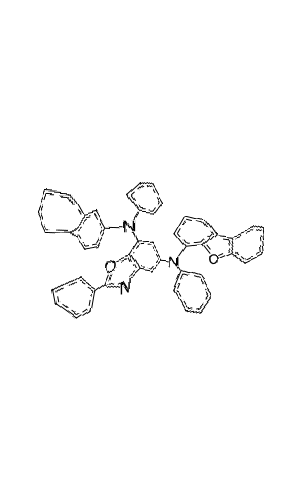 c1ccc(-c2nc3cc(N(c4ccccc4)c4cccc5c4oc4ccccc45)cc(N(c4ccccc4)c4ccc5ccccc5c4)c3o2)cc1